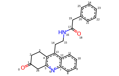 O=C1CCc2c(nc3ccccc3c2CCNC(=O)Cc2ccccc2)C1